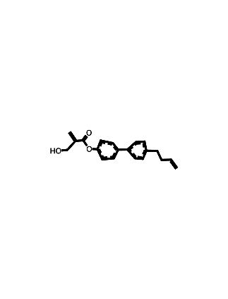 C=CCCc1ccc(-c2ccc(OC(=O)C(=C)CO)cc2)cc1